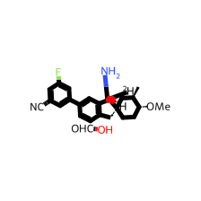 O=CO.[2H]C1([2H])OC(N)=N[C@]12c1cc(-c3cc(F)cc(C#N)c3)ccc1C[C@]21CC[C@@H](OC)[C@H](C)C1